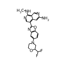 CNc1ncc(-c2nc3cc(N4CCOC(C(F)F)C4)ccc3o2)c2cc(N)ncc12